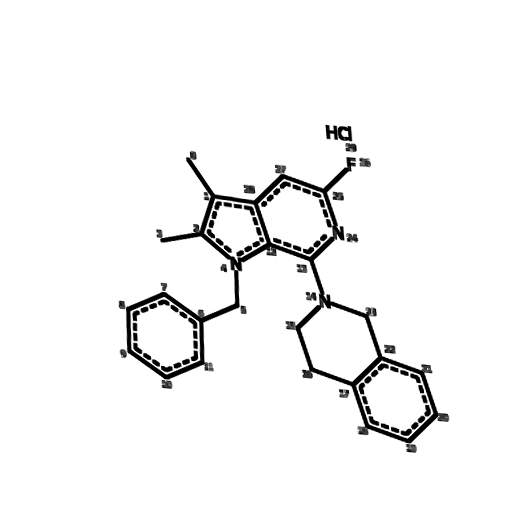 Cc1c(C)n(Cc2ccccc2)c2c(N3CCc4ccccc4C3)nc(F)cc12.Cl